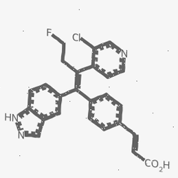 O=C(O)C=Cc1ccc(C(=C(CCF)c2ccncc2Cl)c2ccc3[nH]ncc3c2)cc1